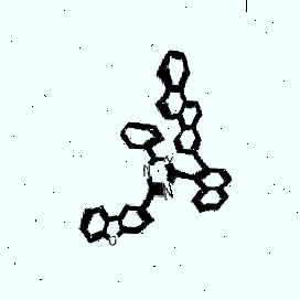 c1ccc(-c2nc(-c3ccc4oc5ccccc5c4c3)nc(-c3c(-c4ccc5c(ccc6c7ccccc7ccc56)c4)ccc4ccccc34)n2)cc1